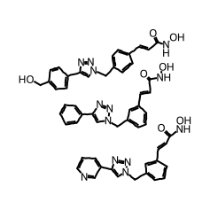 O=C(C=Cc1ccc(Cn2cc(-c3ccc(CO)cc3)nn2)cc1)NO.O=C(C=Cc1cccc(Cn2cc(-c3ccccc3)nn2)c1)NO.O=C(C=Cc1cccc(Cn2cc(-c3cccnc3)nn2)c1)NO